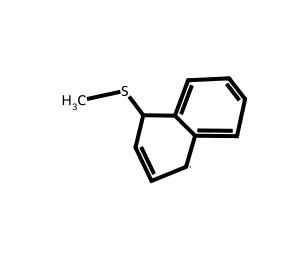 CSC1C=C[CH]c2ccccc21